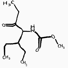 CCC(=O)C(NC(=O)OC)C(CC)CC